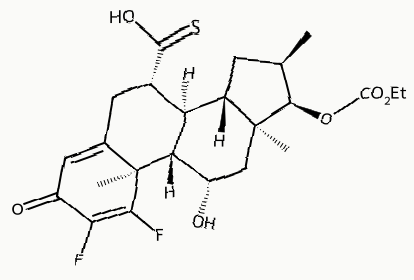 CCOC(=O)O[C@@H]1[C@H](C)C[C@H]2[C@H]3[C@H]([C@@H](O)C[C@]12C)[C@]1(C)C(=CC(=O)C(F)=C1F)C[C@@H]3C(O)=S